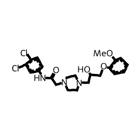 COc1ccccc1OCC(O)CN1CCN(CC(=O)Nc2ccc(Cl)c(Cl)c2)CC1